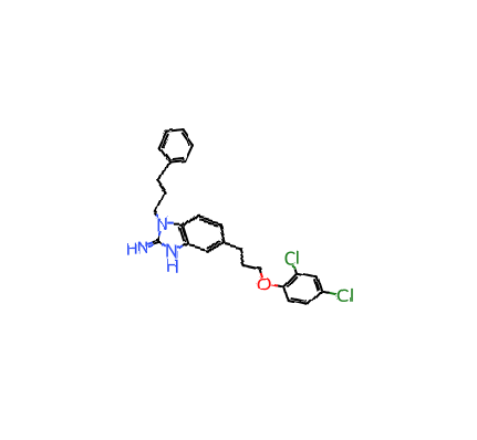 N=c1[nH]c2cc(CCCOc3ccc(Cl)cc3Cl)ccc2n1CCCc1ccccc1